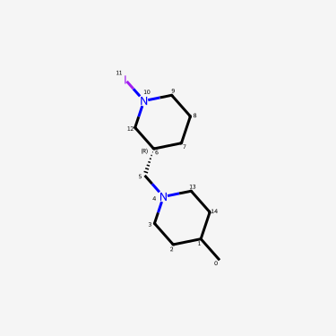 CC1CCN(C[C@H]2CCCN(I)C2)CC1